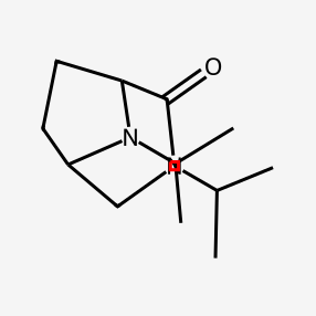 CC(C)N1CC2CCC(C1=O)N2C(C)C